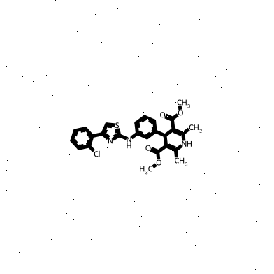 COC(=O)C1=C(C)NC(C)=C(C(=O)OC)C1c1cccc(Nc2nc(-c3ccccc3Cl)cs2)c1